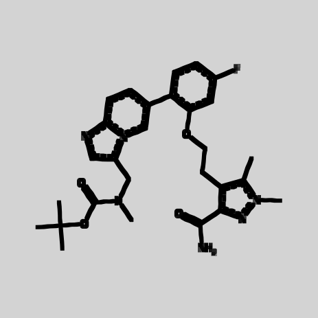 Cc1c(CCOc2cc(F)ccc2-c2ccc3ncc(CN(C)C(=O)OC(C)(C)C)n3c2)c(C(N)=O)nn1C